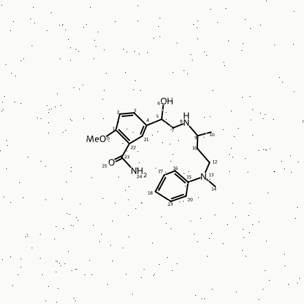 COc1ccc(C(O)CNC(C)CCN(C)c2ccccc2)cc1C(N)=O